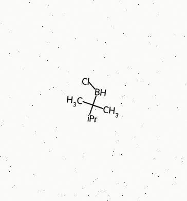 CC(C)C(C)(C)BCl